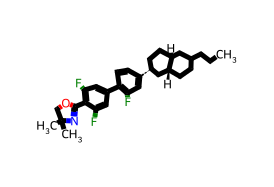 CCCC1CC[C@@H]2C[C@H](c3ccc(-c4cc(F)c(C5=NC(C)(C)CO5)c(F)c4)c(F)c3)CC[C@@H]2C1